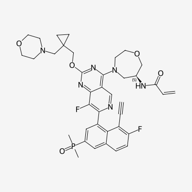 C#Cc1c(F)ccc2cc(P(C)(C)=O)cc(-c3ncc4c(N5CCOC[C@@H](NC(=O)C=C)C5)nc(OCC5(CN6CCOCC6)CC5)nc4c3F)c12